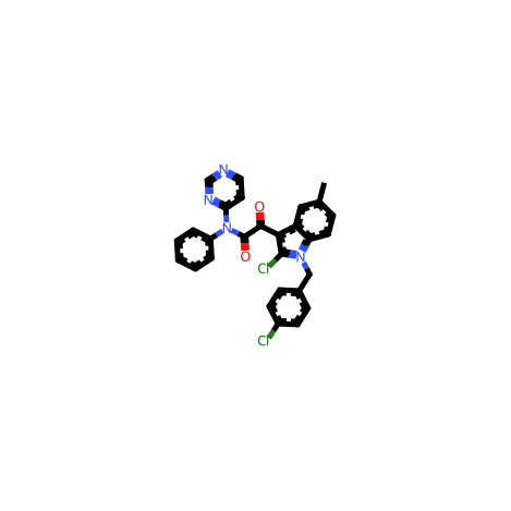 Cc1ccc2c(c1)c(C(=O)C(=O)N(c1ccccc1)c1ccncn1)c(Cl)n2Cc1ccc(Cl)cc1